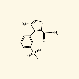 CS(=N)(=O)c1cccc(-c2c([N+](=O)[O-])csc2C(N)=O)c1